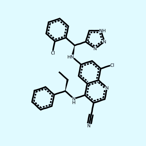 CC[C@@H](Nc1c(C#N)cnc2c(Cl)cc(N[C@H](c3c[nH]nn3)c3ccccc3Cl)cc12)c1ccccc1